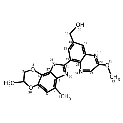 [CH2]C1COc2c(cc(C)c3nc(-c4cc(CO)cc5nc(OC)cnc45)sc23)O1